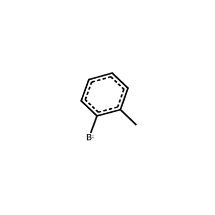 [B]c1ccccc1C